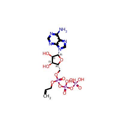 C=CCOP(=O)(OC[C@H]1O[C@@H](n2cnc3c(N)ncnc32)[C@H](O)[C@@H]1O)OP(=O)(O)OP(=O)(O)O